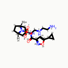 NCCNCCS(=O)(=O)N1[C@@H]2CC[C@H]1C[C@@H](NC(=O)c1cc(C3CC3)on1)C2